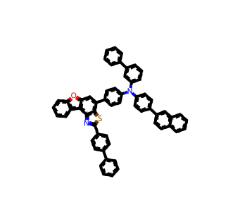 c1ccc(-c2ccc(-c3nc4c(s3)c(-c3ccc(N(c5ccc(-c6ccc7ccccc7c6)cc5)c5cccc(-c6ccccc6)c5)cc3)cc3oc5ccccc5c34)cc2)cc1